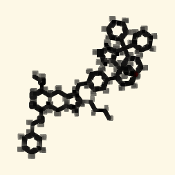 CCCCc1nc2c(n1Cc1ccc(-c3ccccc3-c3nnnn3C(c3ccccc3)(c3ccccc3)c3ccccc3)cc1)CC(C(=O)OC)N(C(=O)OCc1ccccc1)C2